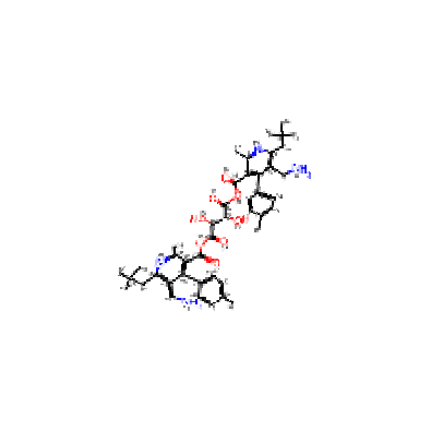 Cc1ccc(-c2c(CN)c(CC(C)(C)C)nc(C)c2C(=O)OC(=O)C(O)C(O)C(=O)OC(=O)c2c(C)nc(CC(C)(C)C)c(CN)c2-c2ccc(C)cc2)cc1